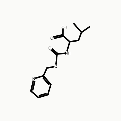 CC(C)CC(NC(=O)OCc1ccccn1)C(=O)O